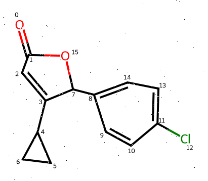 O=C1C=C(C2CC2)C(c2ccc(Cl)cc2)O1